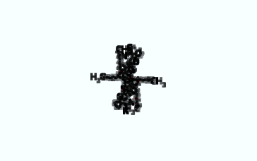 [C-]#[N+]/C(C#N)=C1\c2ccccc2C(=O)C1Cc1cc2sc3c(c2s1)C(c1ccc(CCCCCC)cc1)(c1ccc(CCCCCC)cc1)c1c-3sc2c3c(sc12)-c1sc2cc(/C=C4\C(=O)c5ccccc5C4=C(C#N)C#N)sc2c1C3(c1ccc(CCCCCC)cc1)c1ccc(CCCCCC)cc1